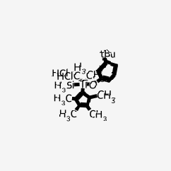 CC1=C(C)C(C)[C]([Ti]([CH3])([CH3])([SiH3])[O]c2cccc(C(C)(C)C)c2)=C1C.Cl.Cl